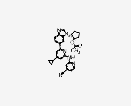 CC(=O)O[C@@H]1CCC[C@H]1n1cnc2ccc(-c3cc(C4CC4)cc(Nc4cc(C#N)ccn4)n3)cc21